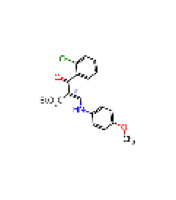 CCOC(=O)/C(=C\Nc1ccc(OC(F)(F)F)cc1)C(=O)c1ccccc1Cl